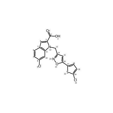 O=C(O)c1cc2ccc(Cl)cc2n1Cc1cc(-c2ccc(Cl)s2)on1